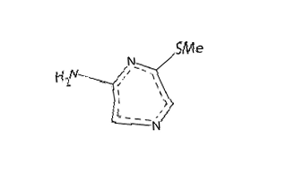 CSc1cncc(N)n1